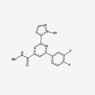 CC(C)n1nccc1-c1cc(C(=O)NC(C)(C)C)cc(-c2ccc(F)c(F)c2)n1